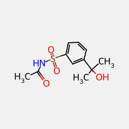 CC(=O)NS(=O)(=O)c1cccc(C(C)(C)O)c1